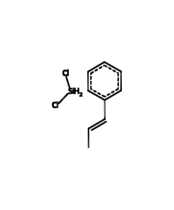 CC=Cc1ccccc1.Cl[SiH2]Cl